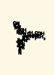 CC(C)(O)[C@H](F)CNC(=O)c1cnc(-c2ccc3cc(C#N)cnn23)cc1Nc1nnc(N2CCOCC2)o1